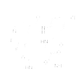 CNC(=O)C(=O)[C@H](C[C@@H]1CCNC1=O)NC(=O)c1cc(Cl)ccc1NC(=O)c1ccnc(C(F)(F)F)c1